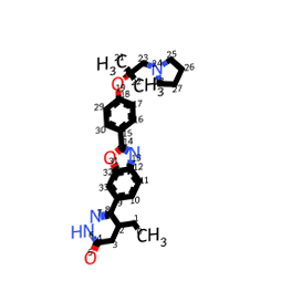 CCC1CC(=O)NN=C1c1ccc2nc(-c3ccc(OC(C)(C)CN4CCCC4)cc3)oc2c1